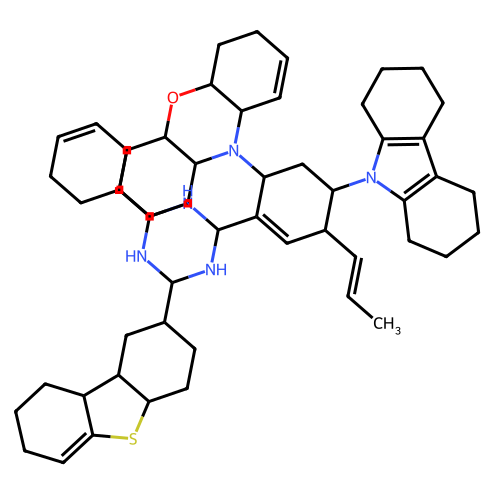 C/C=C/C1C=C(C2NC(C3CC=CCC3)NC(C3CCC4SC5=CCCCC5C4C3)N2)C(N2C3C=CCCC3OC3CCCCC32)CC1n1c2c(c3c1CCCC3)CCCC2